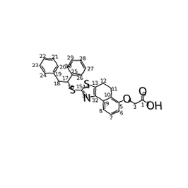 O=C(O)COc1cccc2c1CCc1sc(SC(Cc3ccccc3)c3ccccc3)nc1-2